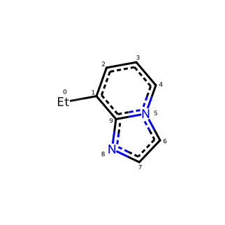 [CH2]Cc1cccn2ccnc12